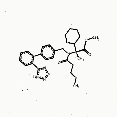 CCCCC(=O)N(Cc1ccc(-c2ccccc2-c2nnn[nH]2)cc1)[C@@](C)(C(=O)OC)C1CCCCC1